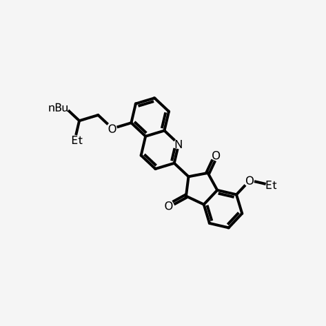 CCCCC(CC)COc1cccc2nc(C3C(=O)c4cccc(OCC)c4C3=O)ccc12